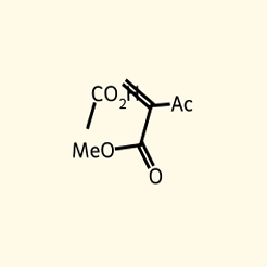 C=C(C(C)=O)C(=O)OC.CC(=O)O